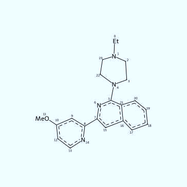 CCN1CCN(c2nc(-c3cc(OC)ccn3)cc3ccccc23)CC1